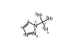 [2H]C([2H])([2H])n1ccnn1